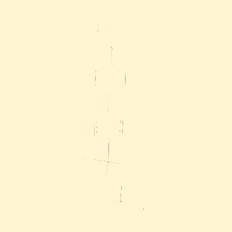 COC(=O)CCC(C)(C#N)c1ccc(C2=CCN(C(=O)OC(C)(C)C)CC2)cc1